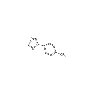 FC(F)(F)c1ccc(-c2ncsn2)cc1